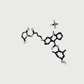 Cc1cc([N+](=O)[O-])cc(C)c1OC(=O)c1c2ccccc2[n+](C)c2cc(OCCCC(=O)ON3C(=O)CCC3=O)ccc12.O=S(=O)([O-])F